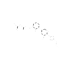 CCCC1CN(c2ncc(-c3cccc(COC(=O)NC(=N)N)c3F)cc2F)C1